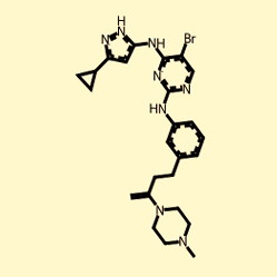 C=C(CCc1cccc(Nc2ncc(Br)c(Nc3cc(C4CC4)n[nH]3)n2)c1)N1CCN(C)CC1